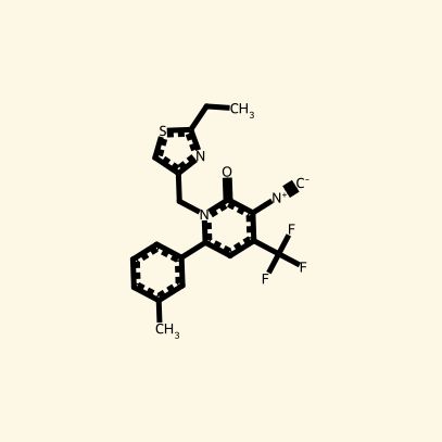 [C-]#[N+]c1c(C(F)(F)F)cc(-c2cccc(C)c2)n(Cc2csc(CC)n2)c1=O